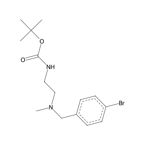 CN(CCNC(=O)OC(C)(C)C)Cc1ccc(Br)cc1